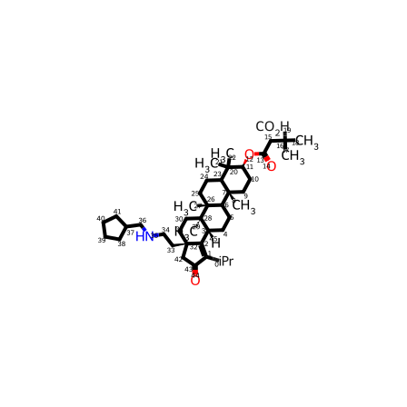 CC(C)C1=C2[C@H]3CCC4[C@@]5(C)CC[C@H](OC(=O)CC(C)(C)C(=O)O)C(C)(C)C5CC[C@@]4(C)[C@]3(C)CC[C@@]2(CCNCC2CCCC2)CC1=O